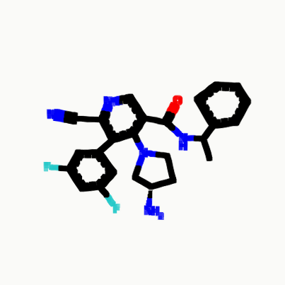 CC(NC(=O)c1cnc(C#N)c(-c2cc(F)cc(F)c2)c1N1CC[C@H](N)C1)c1ccccc1